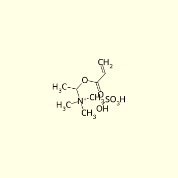 C=CC(=O)OC(C)[N+](C)(C)C.O=S(=O)(O)O